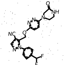 N#Cc1cnn(-c2ccc(C(F)F)cc2)c1COc1ccc(N2CCNC(=O)C2)nn1